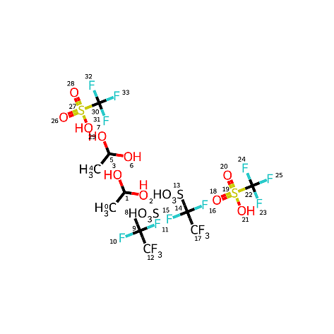 CC(O)O.CC(O)O.O=S(=O)(O)C(F)(F)C(F)(F)F.O=S(=O)(O)C(F)(F)C(F)(F)F.O=S(=O)(O)C(F)(F)F.O=S(=O)(O)C(F)(F)F